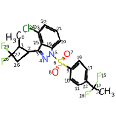 CC1C(c2nn(S(=O)(=O)c3ccc(C(C)(F)F)cc3)c3cccc(Cl)c23)CC1(F)F